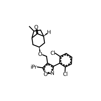 CC(C)c1onc(-c2c(Cl)cccc2Cl)c1CO[C@H]1CC2C(=O)[C@H](CC2C)C1